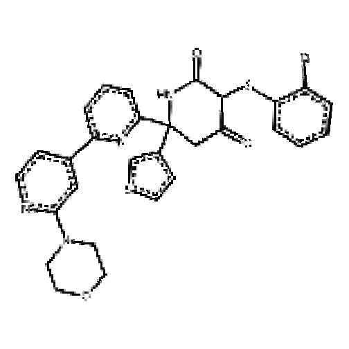 O=C1CC(c2ccsc2)(c2cccc(-c3ccnc(N4CCOCC4)c3)n2)NC(=O)C1Sc1ccccc1Cl